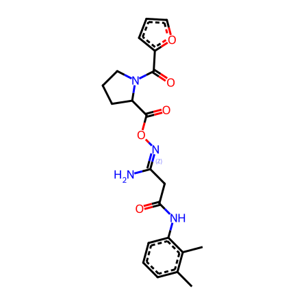 Cc1cccc(NC(=O)C/C(N)=N/OC(=O)C2CCCN2C(=O)c2ccco2)c1C